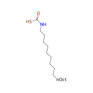 CCCCCCCCCCCCCCCCCNC(=O)S